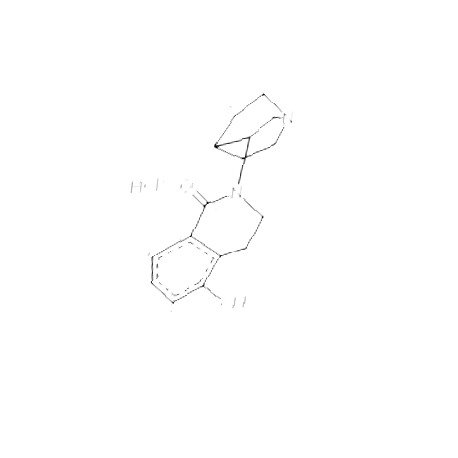 Cc1cccc2c1CCN(C1CN3CCC1CC3)C2=O.Cl